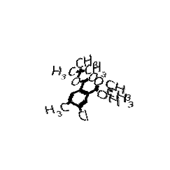 CC.Cc1cc(C(=O)OC(C)(C)C)c(C(=O)O)cc1Cl